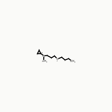 CCCCOCCCN(C)C1CC1